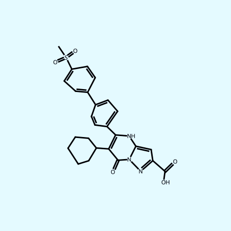 CS(=O)(=O)c1ccc(-c2ccc(-c3[nH]c4cc(C(=O)O)nn4c(=O)c3C3CCCCC3)cc2)cc1